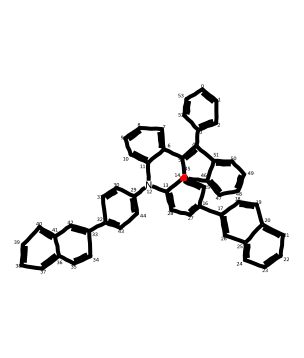 c1ccc(-c2c(-c3ccccc3N(c3ccc(-c4ccc5ccccc5c4)cc3)c3ccc(-c4ccc5ccccc5c4)cc3)oc3ccccc23)cc1